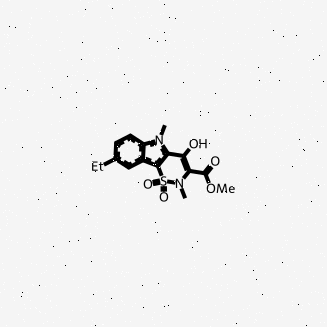 CCc1ccc2c(c1)c1c(n2C)C(O)=C(C(=O)OC)N(C)S1(=O)=O